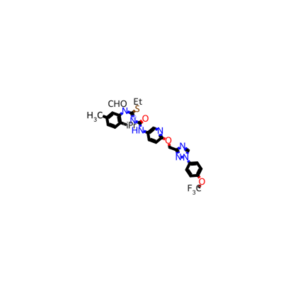 CCS/C(=N\C(=O)Nc1ccc(OCc2ncn(-c3ccc(OC(F)(F)F)cc3)n2)nc1)N(C=O)c1cc(C)ccc1C(C)C